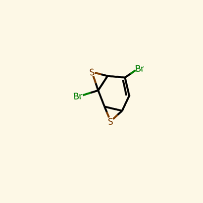 BrC1=CC2SC2C2(Br)SC12